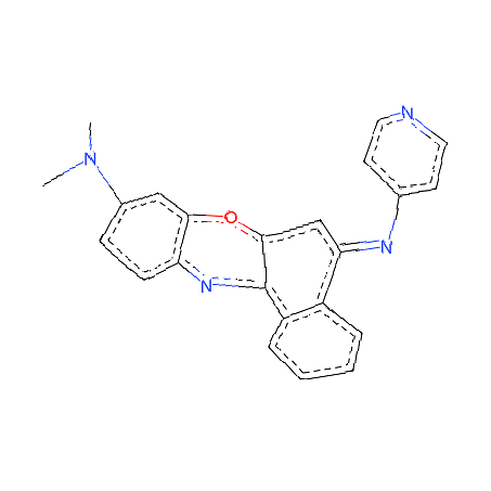 CN(C)c1ccc2nc3c4ccccc4c(=Nc4ccncc4)cc-3oc2c1